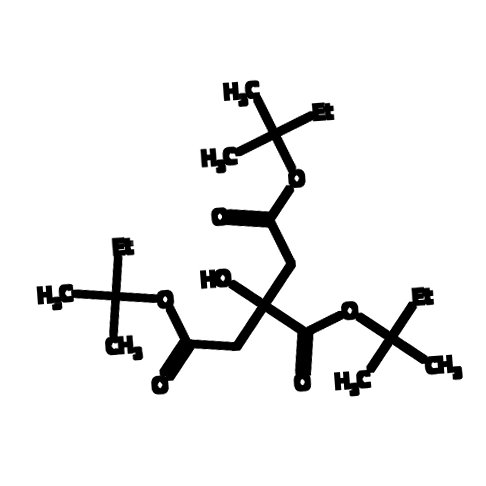 CCC(C)(C)OC(=O)CC(O)(CC(=O)OC(C)(C)CC)C(=O)OC(C)(C)CC